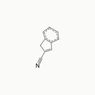 N#CC1=Cc2ccccc2C1